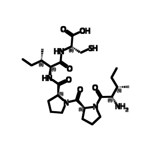 CC[C@H](C)[C@H](N)C(=O)N1CCC[C@H]1C(=O)N1CCC[C@H]1C(=O)N[C@H](C(=O)N[C@@H](CS)C(=O)O)[C@@H](C)CC